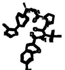 Cc1ncsc1-c1ccc([C@H](C)NC(=O)[C@@H]2CCCN2C(=O)C(NC(=O)c2cc3ccc(Br)cc3o2)C(C)(C)C)cc1